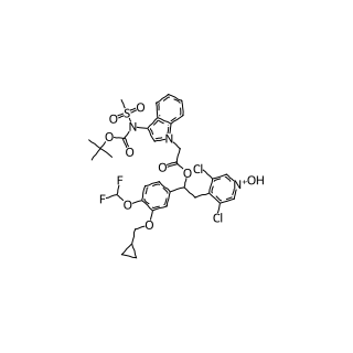 CC(C)(C)OC(=O)N(c1cn(CC(=O)OC(Cc2c(Cl)c[n+](O)cc2Cl)c2ccc(OC(F)F)c(OCC3CC3)c2)c2ccccc12)S(C)(=O)=O